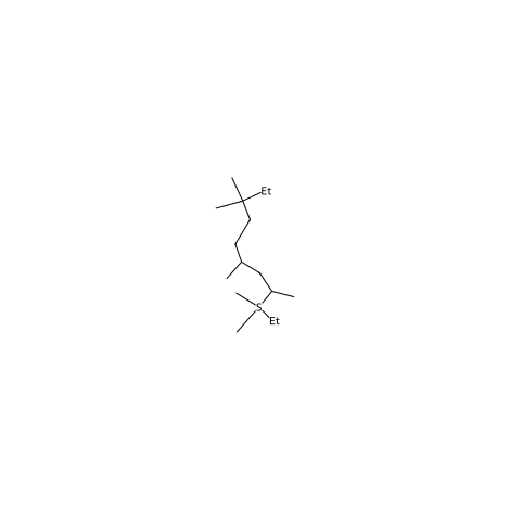 CCC(C)(C)CCC(C)CC(C)S(C)(C)CC